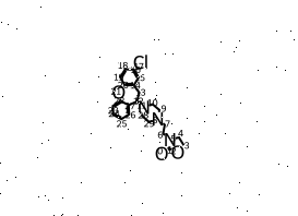 O=C1OCCN1CCN1CCN(C2Cc3cc(Cl)ccc3Oc3ccccc32)CC1